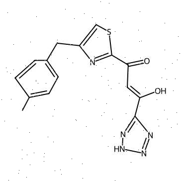 Cc1ccc(Cc2csc(C(=O)C=C(O)c3nn[nH]n3)n2)cc1